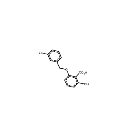 O=C(O)c1c(O)cccc1OCc1cccc(Cl)c1